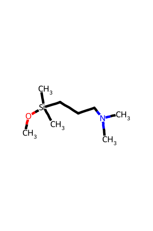 CO[Si](C)(C)CCCN(C)C